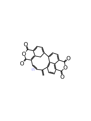 C=C1/C=C\C2=C3CC(=CC=C3C(=O)OC2=O)c2ccc3c4c(ccc1c24)C(=O)OC3=O